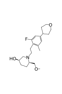 COC[C@H]1CC[C@@H](O)CN1CCc1c(C)cc(C2CCOCC2)cc1F